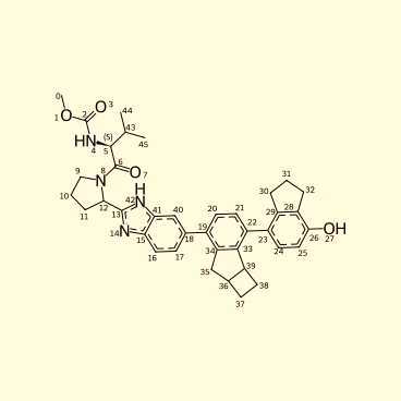 COC(=O)N[C@H](C(=O)N1CCCC1c1nc2ccc(-c3ccc(-c4ccc(O)c5c4CCC5)c4c3CC3CCC43)cc2[nH]1)C(C)C